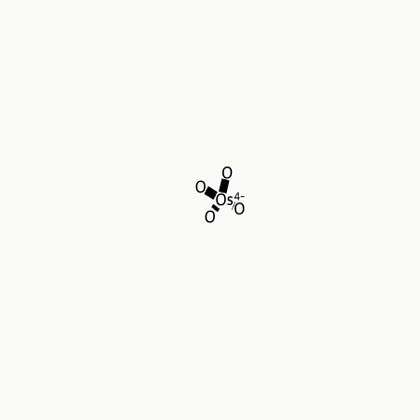 [O]=[Os-4](=[O])(=[O])=[O]